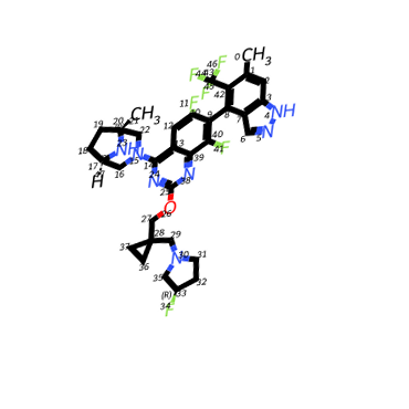 Cc1cc2[nH]ncc2c(-c2c(F)cc3c(N4C[C@H]5CC[C@](C)(C4)N5)nc(OCC4(CN5CC[C@@H](F)C5)CC4)nc3c2F)c1C(F)(F)F